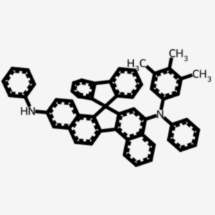 Cc1cc(N(c2ccccc2)c2cc3c(c4ccccc24)-c2ccc4cc(Nc5ccccc5)ccc4c2C32c3ccccc3-c3ccccc32)cc(C)c1C